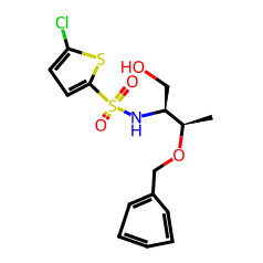 C[C@@H](OCc1ccccc1)[C@H](CO)NS(=O)(=O)c1ccc(Cl)s1